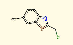 N#Cc1ccc2nc(CCl)sc2c1